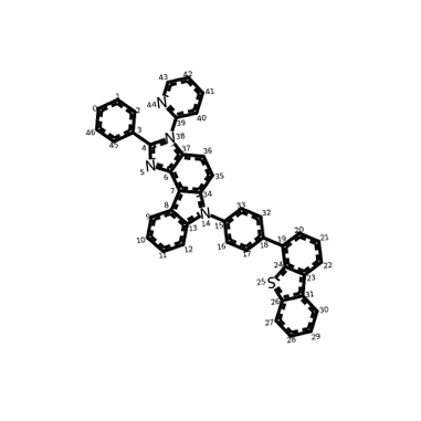 c1ccc(-c2nc3c4c5ccccc5n(-c5ccc(-c6cccc7c6sc6ccccc67)cc5)c4ccc3n2-c2ccccn2)cc1